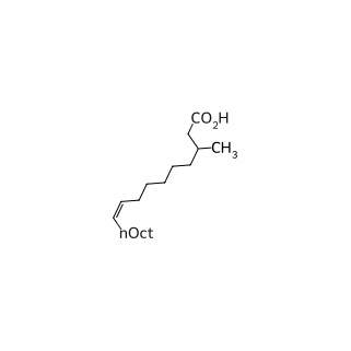 CCCCCCCC/C=C\CCCCCC(C)CC(=O)O